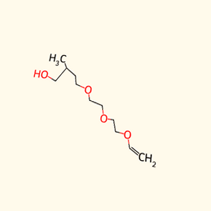 C=COCCOCCOCCC(C)CO